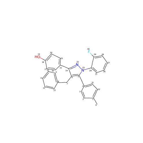 Cc1ccc(-c2c(Cc3ccccc3)c(-c3ccc(O)cc3)nn2-c2ccccc2F)cc1